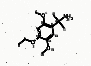 CCOc1cc(OC)c(C(C)(C)N)cc1OC